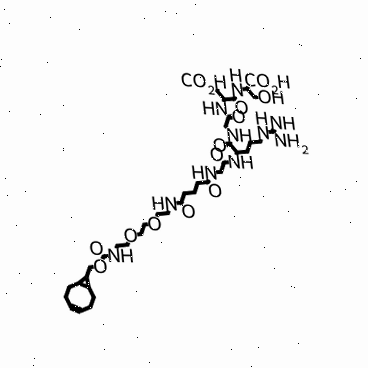 N=C(N)NCCCC(NC(=O)CNC(=O)CCCC(=O)NCCOCCOCCNC(=O)OCC1C2CCC#CCCC21)C(=O)NCC(=O)NC(CC(=O)O)C(=O)NC(CO)C(=O)O